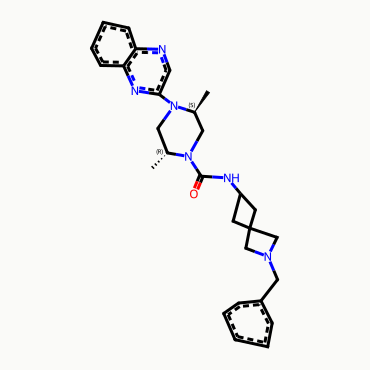 C[C@@H]1CN(c2cnc3ccccc3n2)[C@@H](C)CN1C(=O)NC1CC2(C1)CN(Cc1ccccc1)C2